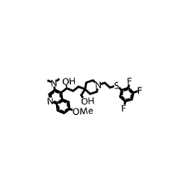 COc1ccc2ncc(N(C)C)c([C@@H](O)CCC3(CO)CCN(CCSc4cc(F)cc(F)c4F)CC3)c2c1